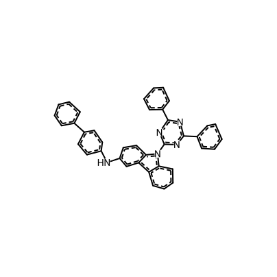 c1ccc(-c2ccc(Nc3ccc4c(c3)c3ccccc3n4-c3nc(-c4ccccc4)nc(-c4ccccc4)n3)cc2)cc1